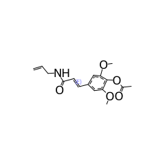 C=CCNC(=O)/C=C/c1cc(OC)c(OC(C)=O)c(OC)c1